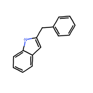 C1=C(Cc2ccccc2)[N]c2ccccc21